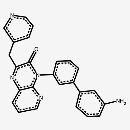 Nc1cccc(-c2cccc(-n3c(=O)c(Cc4cccnc4)nc4cccnc43)c2)c1